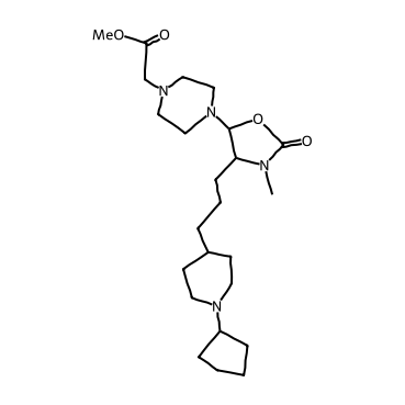 COC(=O)CN1CCN(C2OC(=O)N(C)C2CCCC2CCN(C3CCCC3)CC2)CC1